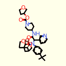 CC(C)(C)c1ccc(N(C(=O)[C@H]2C3CO[C@H]4OCC2C4C3)C(C(=O)NC2CCN(C(=O)OC3CCOC3)CC2)c2cccnc2)cc1